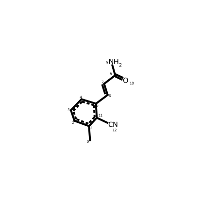 Cc1cccc(/C=C/C(N)=O)c1C#N